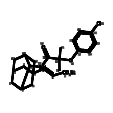 CCOC(=O)/C=C/C12CC3CC(C1)C(NC(=O)C(C)(C)Oc1ccc(Cl)cc1)C(C3)C2